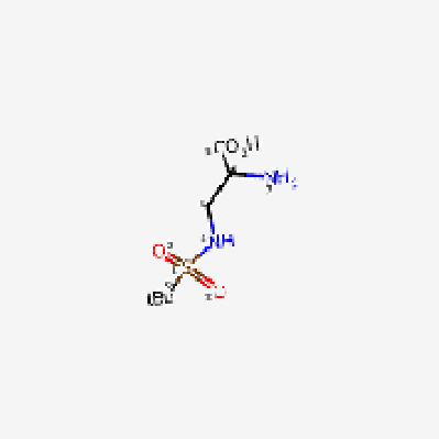 CC(C)(C)S(=O)(=O)NCC(N)C(=O)O